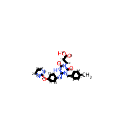 Cc1ccc(Cn2c(=O)n(CCC(=O)O)c(=O)[nH]/c2=N\c2ccc(Oc3ncccn3)cc2)cc1